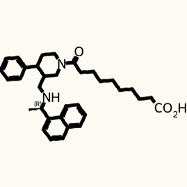 C[C@@H](NCC1CN(C(=O)CCCCCCCCC(=O)O)CCC1c1ccccc1)c1cccc2ccccc12